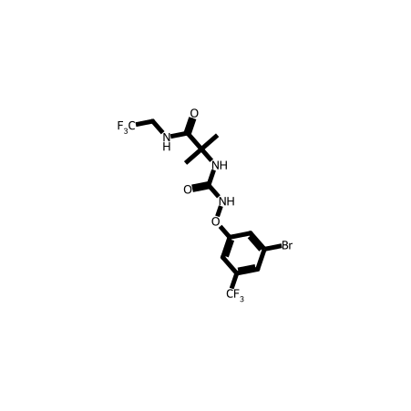 CC(C)(NC(=O)NOc1cc(Br)cc(C(F)(F)F)c1)C(=O)NCC(F)(F)F